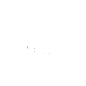 CCCCCCCCCc1cccc(O)c1CCCCCCCCC.[BaH2]